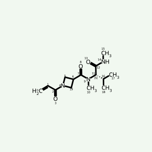 C=CC(=O)N1CC(C(=O)N(C)[C@H](C(=O)NC)C(C)C)C1